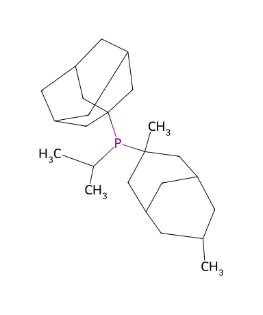 CC1CC2CC(C1)CC(C)(P(C(C)C)C13CC4CC(CC(C4)C1)C3)C2